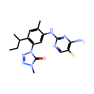 CCC(C)c1cc(C)c(Nc2ncc(F)c(N)n2)cc1-n1nnn(C)c1=O